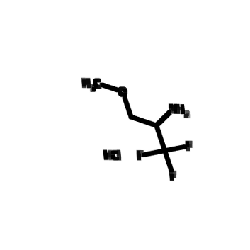 COCC(N)C(F)(F)F.Cl